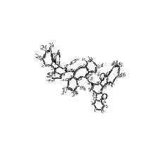 c1ccc2c(c1)oc1c2cc(-c2c3ccccc3c(-c3cc4oc5ccccc5c4c4sccc34)c3ccccc23)c2oc3ccccc3c21